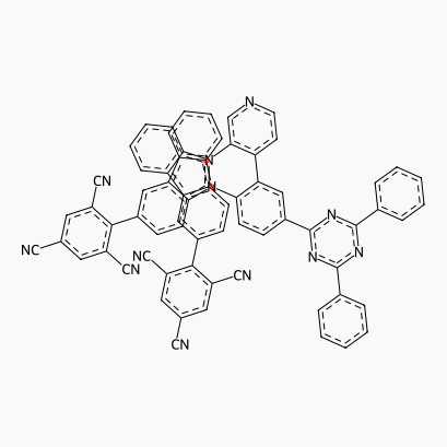 N#Cc1cc(C#N)c(-c2ccc3c(c2)c2ccccc2n3-c2ccc(-c3nc(-c4ccccc4)nc(-c4ccccc4)n3)cc2-c2ccncc2-n2c3ccccc3c3cc(-c4c(C#N)cc(C#N)cc4C#N)ccc32)c(C#N)c1